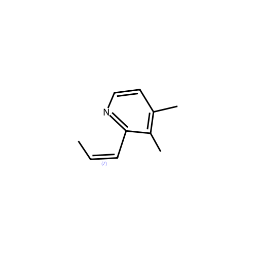 C/C=C\c1nccc(C)c1C